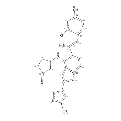 Cn1cc(-c2cc3c(NC4COC(=O)C4)c(/C(N)=N/c4ccc(O)cc4Cl)cnn3c2)cn1